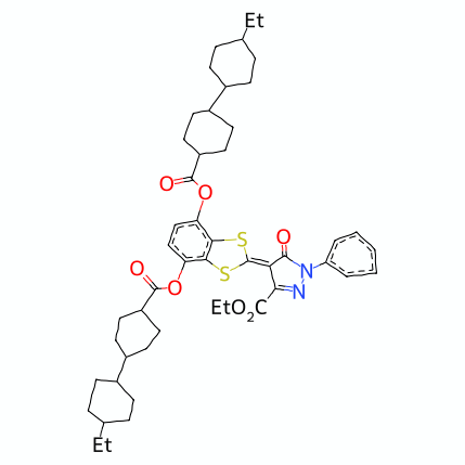 CCOC(=O)C1=NN(c2ccccc2)C(=O)C1=C1Sc2c(OC(=O)C3CCC(C4CCC(CC)CC4)CC3)ccc(OC(=O)C3CCC(C4CCC(CC)CC4)CC3)c2S1